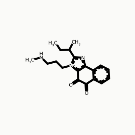 CCC(C)c1nc2c(n1CCCNC)C(=O)C(=O)c1ccccc1-2